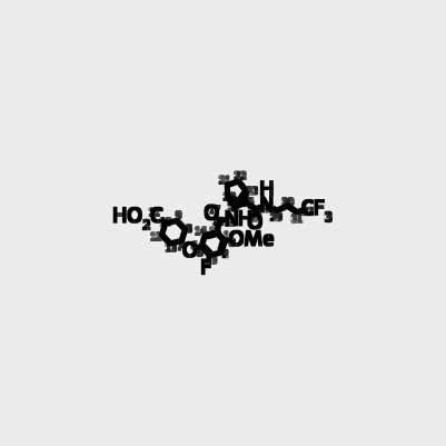 COc1cc(F)c(OC2CCC(C(=O)O)CC2)cc1C(=O)NC1C2CCC(C2)C1C(=O)NCCCC(F)(F)F